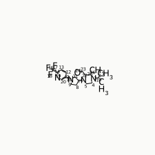 CC(C)N1CCN([C@H]2CCN(c3ccc(C(F)(F)F)nc3)C2)C(C=O)[C@@H]1C